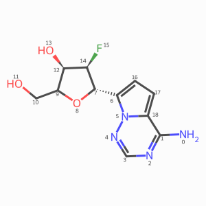 Nc1ncnn2c([C@@H]3OC(CO)[C@@H](O)[C@H]3F)ccc12